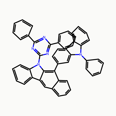 c1ccc(-c2nc(-c3ccccc3)nc(-n3c4ccccc4c4cc5ccccc5c(-c5ccc6c7ccccc7n(-c7ccccc7)c6c5)c43)n2)cc1